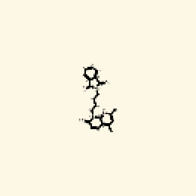 Cc1cc(C)c2ccc(=O)n(CCCCN3C(=O)c4ccccc4C3=O)c2n1